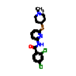 CN1CCC(Sc2cccc(NC(=O)c3ccc(Cl)cc3Cl)n2)CC1